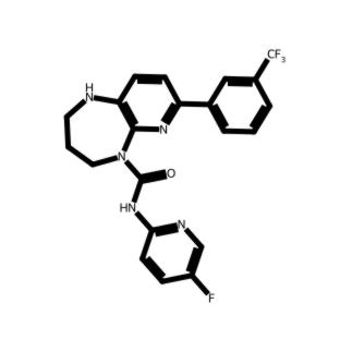 O=C(Nc1ccc(F)cn1)N1CCCNc2ccc(-c3cccc(C(F)(F)F)c3)nc21